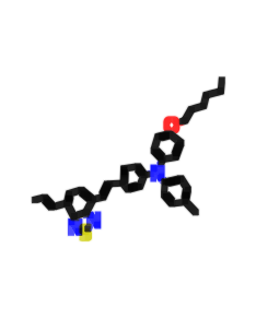 CC=Cc1ccc(C=Cc2ccc(N(c3ccc(C)cc3)c3ccc(OCCCCCC)cc3)cc2)c2nsnc12